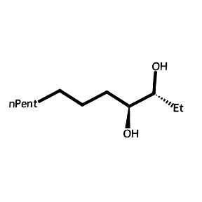 CCCCCCCC[C@H](O)[C@H](O)CC